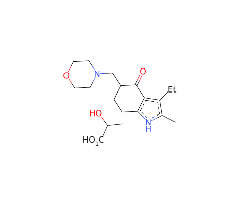 CC(O)C(=O)O.CCc1c(C)[nH]c2c1C(=O)C(CN1CCOCC1)CC2